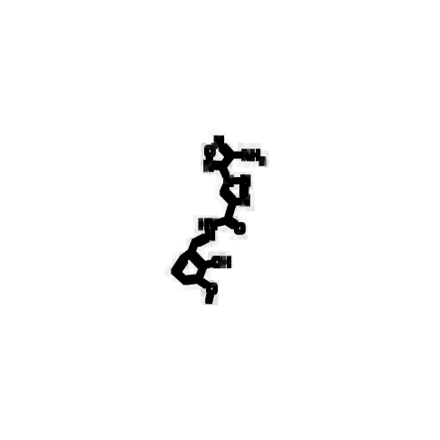 COc1cccc(/C=N/NC(=O)c2cn(-c3nonc3N)nn2)c1O